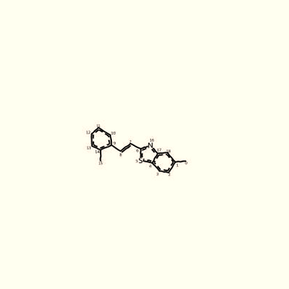 Cc1ccc2sc(/C=C/c3ccccc3C)nc2c1